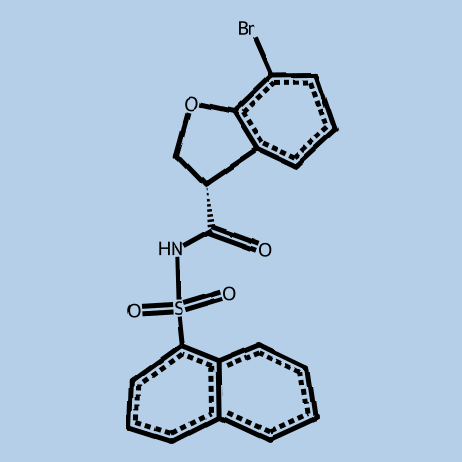 O=C(NS(=O)(=O)c1cccc2ccccc12)[C@@H]1COc2c(Br)cccc21